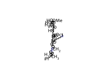 C=C1CCC(OCCN(CCCN(CCCCNCCC(=O)NCC2OC(OC)[C@@H](O)[C@@H](O)[C@H]2C)C(=O)CC)C(=O)CCCCCCC/C=C\CCCCCCCC)C/C1=C/C=C1\CCC[C@@]2(C)C1CC[C@@H]2[C@H](C)CCCC(C)C